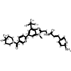 Cn1c(CNC(=O)/C=C/c2ccc(N)nc2)nc2c(C(F)(F)F)cc(-c3ccc(C(=O)N4CCC(F)(F)CC4)cn3)cc21